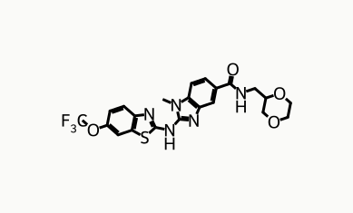 Cn1c(Nc2nc3ccc(OC(F)(F)F)cc3s2)nc2cc(C(=O)NCC3COCCO3)ccc21